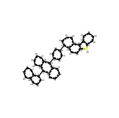 c1ccc2c(-c3c4ccccc4c(-c4ccc(-c5cccc6c5ccc5sc7ccccc7c56)cc4)c4ccccc34)cccc2c1